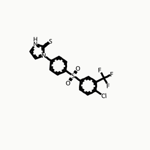 O=S(=O)(c1ccc(-n2cc[nH]c2=S)cc1)c1ccc(Cl)c(C(F)(F)F)c1